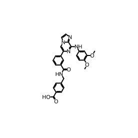 COc1ccc(Nc2nc(-c3cccc(C(=O)NCc4ccc(C(=O)O)cc4)c3)cn3ccnc23)cc1OC